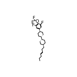 CCC/C=C/CC[C@H]1CC[C@H]([C@H]2CC[C@H](c3cc(F)c(OC(F)F)c(F)c3)CC2)CC1